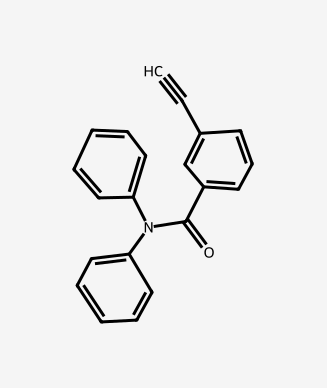 C#Cc1cccc(C(=O)N(c2ccccc2)c2ccccc2)c1